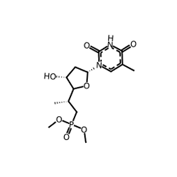 COP(=O)(C[C@H](C)C1O[C@@H](n2cc(C)c(=O)[nH]c2=O)C[C@H]1O)OC